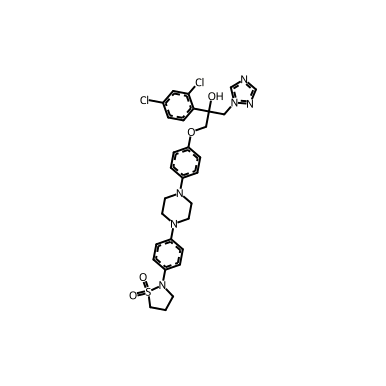 O=S1(=O)CCCN1c1ccc(N2CCN(c3ccc(OCC(O)(Cn4cncn4)c4ccc(Cl)cc4Cl)cc3)CC2)cc1